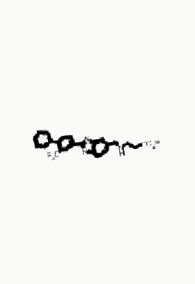 O=C(O)CCNCc1ccc2nc(-c3ccc(-c4ccccc4)c(C(F)(F)F)c3)sc2c1